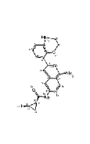 Nc1nc(-c2cncc3c2OCCN3)cc2cc(NC(=O)[C@H]3C[C@H]3F)ncc12